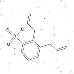 C=CCc1cccc(S(=O)(=O)Cl)c1CC=C